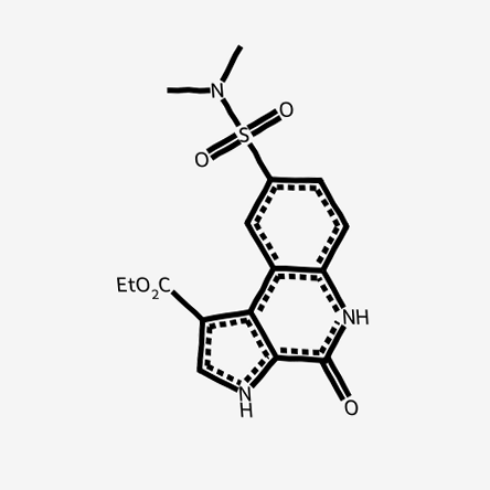 CCOC(=O)c1c[nH]c2c(=O)[nH]c3ccc(S(=O)(=O)N(C)C)cc3c12